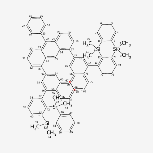 C[Si]1(C)c2ccccc2[Si](C)(C)c2c(-c3cc(-c4cccc5c(-c6ccccc6)c6cccc(-c7cc(-c8cccc9c8[Si](C)(C)c8ccccc8[Si]9(C)C)c8ccccc8c7)c6cc45)cc4ccccc34)cccc21